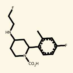 Cc1cc(F)ccc1C1CC(NCCF)CCN1C(=O)O